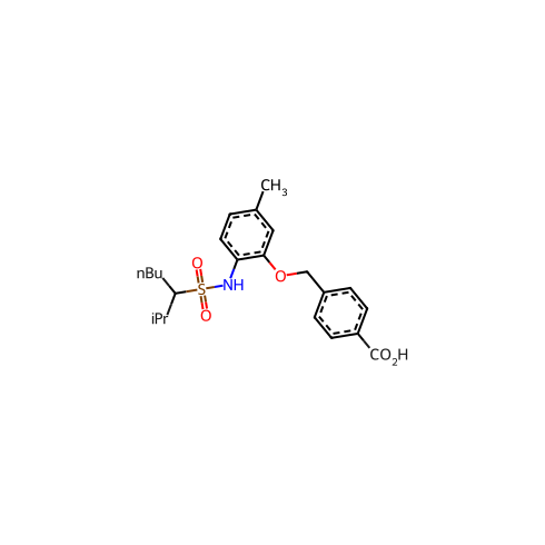 CCCCC(C(C)C)S(=O)(=O)Nc1ccc(C)cc1OCc1ccc(C(=O)O)cc1